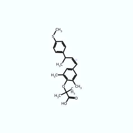 CSc1ccc(C(C)/C=C\c2cc(C)c(OC(C)(C)C(=O)O)c(C)c2)cc1